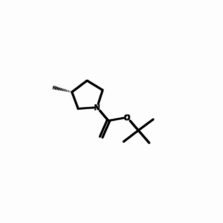 C=C(OC(C)(C)C)N1CC[C@@H](C)C1